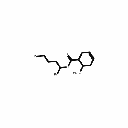 CC(C)CCCC(OC(=O)C1CC=CCC1C(=O)O)C(C)C